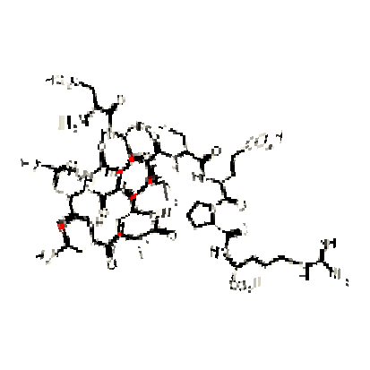 CC(C)C[C@H](NC(=O)[C@H](CCC(N)=O)NC(=O)[C@H](CC(N)=O)NC(=O)[C@H](C)NC(=O)[C@H](CC(N)=O)NC(=O)[C@H](CC(N)=O)NC(=O)[C@H](CC(N)=O)NC(=O)[C@@H](NC(=O)[C@@H](N)CC(=O)O)C(C)C)C(=O)N[C@@H](CCC(=O)O)C(=O)N1CCC[C@H]1C(=O)N[C@@H](CCCNC(=N)N)C(=O)O